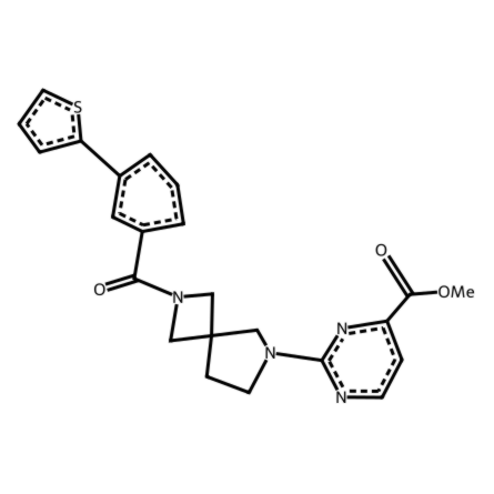 COC(=O)c1ccnc(N2CCC3(CN(C(=O)c4cccc(-c5cccs5)c4)C3)C2)n1